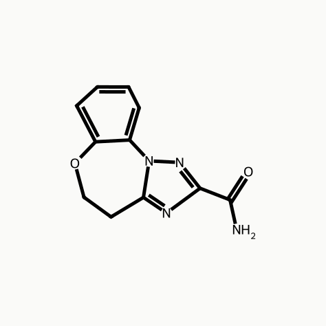 NC(=O)c1nc2n(n1)-c1ccccc1OCC2